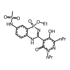 CCCc1nn(CCC)c(=O)c(C2=NP(=O)(OCC)c3cc(NS(C)(=O)=O)ccc3N2)c1O